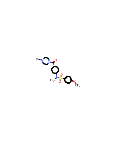 CC(C)N1CCN(C(=O)[C@H]2CC[C@H](N(C)S(=O)(=O)c3ccc(OC(F)(F)F)cc3)CC2)CC1